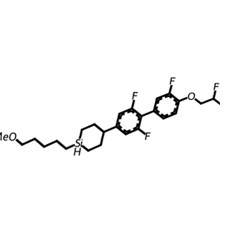 COCCCCC[SiH]1CCC(c2cc(F)c(-c3ccc(OCC(F)F)c(F)c3)c(F)c2)CC1